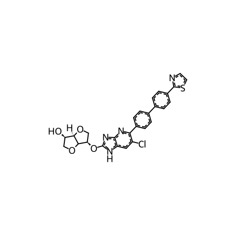 O[C@@H]1COC2[C@H](Oc3nc4nc(-c5ccc(-c6ccc(-c7nccs7)cc6)cc5)c(Cl)cc4[nH]3)CO[C@@H]21